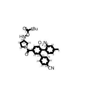 Cc1ccc(-c2ccc(C(=O)N3CC[C@H](NOC(=O)C(C)(C)C)C3)cc2-c2ccc(C#N)cc2)c([N+](=O)[O-])c1